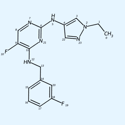 CCn1cc(Nc2ncc(F)c(NCc3cccc(F)c3)n2)cn1